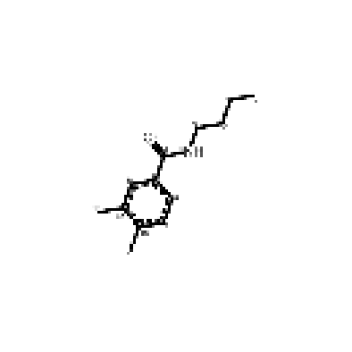 CCCCNC(=O)c1ccc(C)c(C)c1